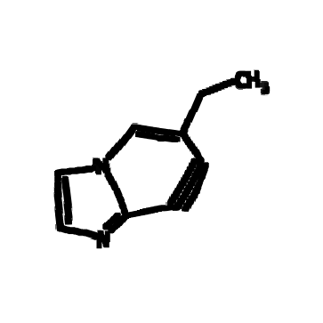 CCc1c#cc2nccn2c1